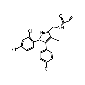 C=CC(=O)NCc1nn(-c2ccc(Cl)cc2Cl)c(-c2ccc(Cl)cc2)c1C